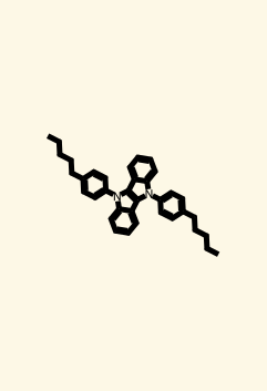 CCCCCc1ccc(-n2c3ccccc3c3c2c2ccccc2n3-c2ccc(CCCCC)cc2)cc1